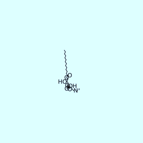 CCCCCCCCCCCCCC(=O)OC[C@@H](O)COP(=O)(O)OCC[N+](C)(C)C